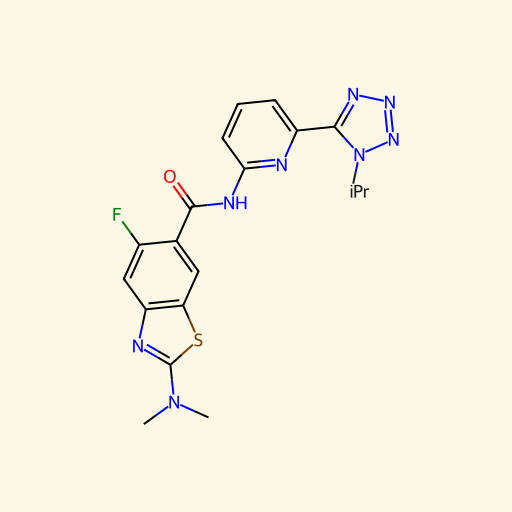 CC(C)n1nnnc1-c1cccc(NC(=O)c2cc3sc(N(C)C)nc3cc2F)n1